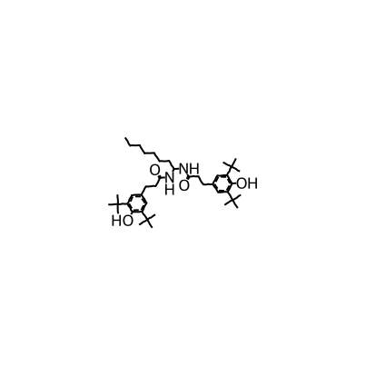 CCCCCCCC(NC(=O)CCc1cc(C(C)(C)C)c(O)c(C(C)(C)C)c1)NC(=O)CCc1cc(C(C)(C)C)c(O)c(C(C)(C)C)c1